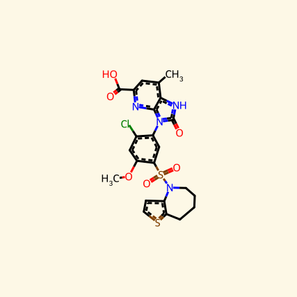 COc1cc(Cl)c(-n2c(=O)[nH]c3c(C)cc(C(=O)O)nc32)cc1S(=O)(=O)N1CCCCc2sccc21